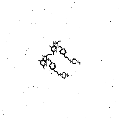 CCc1nc2c(C)cc(C)nc2n1Cc1ccc(/C=C/CN2CCN(C)CC2)cc1.CCc1nc2c(C)cc(C)nc2n1Cc1ccc(/C=C/CN2CCN(CC)CC2)cc1